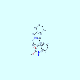 O=C1Nc2ccccc2C2(CCN(CC3CCCCC3)CC2)O1